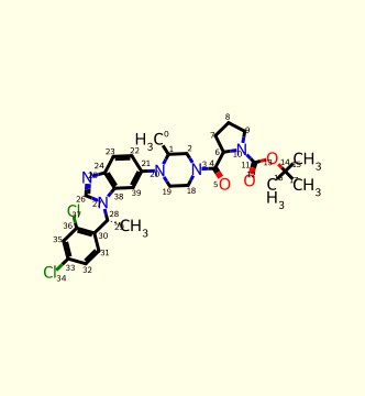 CC1CN(C(=O)C2CCCN2C(=O)OC(C)(C)C)CCN1c1ccc2ncn([C@H](C)c3ccc(Cl)cc3Cl)c2c1